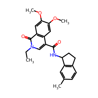 CCn1cc(C(=O)NC2CCc3ccc(C)cc32)c2cc(OC)c(OC)cc2c1=O